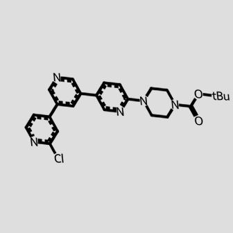 CC(C)(C)OC(=O)N1CCN(c2ccc(-c3cncc(-c4ccnc(Cl)c4)c3)cn2)CC1